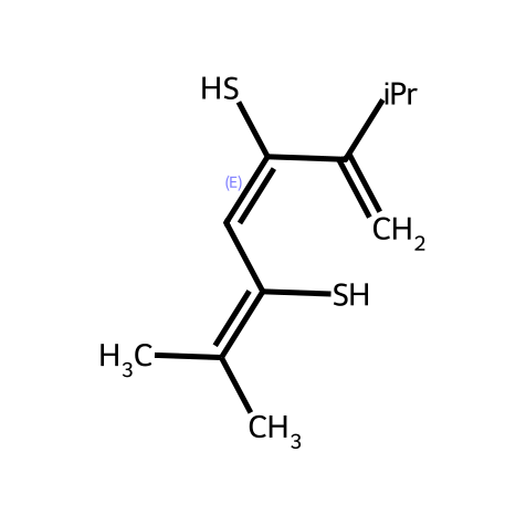 C=C(/C(S)=C\C(S)=C(C)C)C(C)C